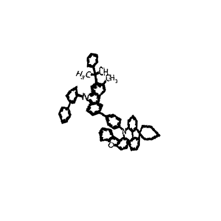 Cc1cc2c3cc(-c4ccc(N(c5cccc6c5-c5ccccc5C65CCCCC5)c5cccc6oc7ccccc7c56)cc4)ccc3n(-c3cccc(-c4ccccc4)c3)c2cc1C(C)(C)c1ccccc1